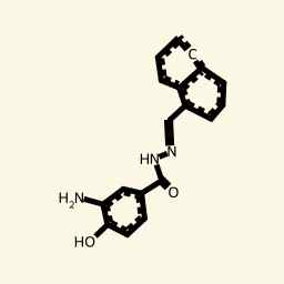 Nc1cc(C(=O)N/N=C/c2cccc3ccccc23)ccc1O